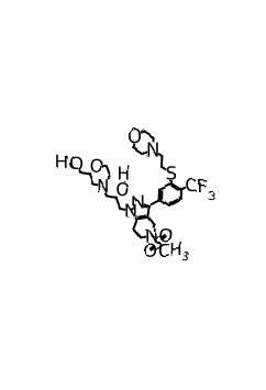 CS(=O)(=O)N1CCc2c(c(-c3ccc(C(F)(F)F)c(SCCN4CCOCC4)c3)nn2CC(O)CN2CCOC(CO)C2)C1